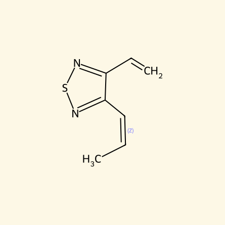 C=Cc1nsnc1/C=C\C